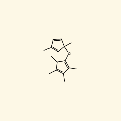 CC1=C[C](C)([Zr][C]2=C(C)C(C)=C(C)C2C)C=C1